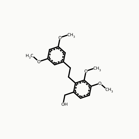 COc1cc(CCc2c(CO)ccc(OC)c2OC)cc(OC)c1